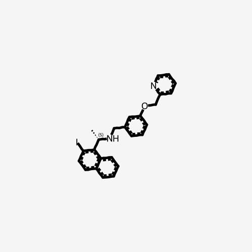 C[C@H](NCc1cccc(OCc2ccccn2)c1)c1c(I)ccc2ccccc12